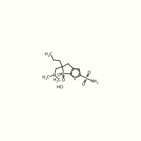 CCCC1(CN(C)C)Cc2cc(S(N)(=O)=O)sc2S1(=O)=O.Cl